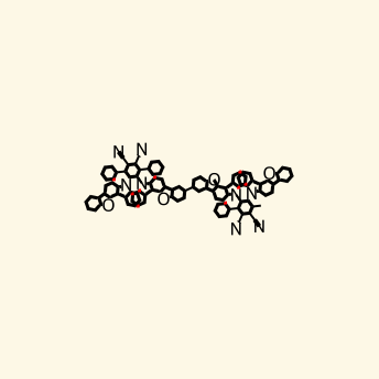 Cc1c(C#N)c(C#N)c(-c2ccccc2)c(-n2c3ccccc3c3c4oc5ccc(-c6ccc7oc8c(ccc9c8c8ccccc8n9-c8c(-c9ccccc9)c(C#N)c(C#N)c(-c9ccccc9)c8-n8c9ccccc9c9c%10oc%11ccccc%11c%10ccc98)c7c6)cc5c4ccc32)c1-n1c2ccccc2c2c3oc4ccccc4c3ccc21